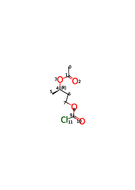 CC(=O)O[C@H](C)CCOC(=O)Cl